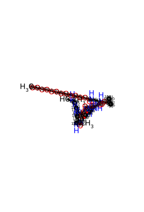 C#CCNC1(C)CCN(C2CCN(c3nc([C@@](COCNC(=O)CNC(=O)[C@H](Cc4ccccc4)NC(=O)CNC(=O)[C@H](CCCCNC(=O)CCOCCOCCOCCOCCOCCOCCOCCOCCOCCOCCOCCOC)NC(=O)OCC4c5ccccc5-c5ccccc54)(OC4CC4)c4ccccc4)c4cc(-c5cn(C)c(=O)c6[nH]ccc56)ccc4n3)CC2)CC1